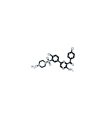 CN1CCN(S(=O)(=O)c2cc(-c3cnc(N)c(C(=O)c4ccc(Cl)cc4)n3)ccc2Cl)CC1